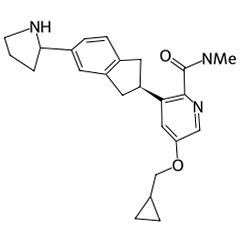 CNC(=O)c1ncc(OCC2CC2)cc1[C@@H]1Cc2ccc(C3CCCN3)cc2C1